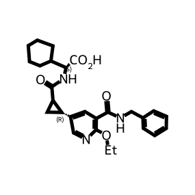 CCOc1ncc([C@@H]2CC2C(=O)N[C@H](C(=O)O)C2CCCCC2)cc1C(=O)NCc1ccccc1